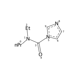 CCCN(CC)C(=O)n1ccnc1